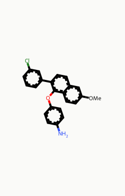 COc1ccc2c(Oc3ccc(N)cc3)c(-c3cccc(Cl)c3)ccc2c1